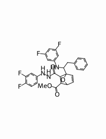 COC(=O)C1=C(C(=O)NNc2ccc(F)c(F)c2)C2(C(Cc3ccccc3)Nc3cc(F)cc(F)c3)C=CC1O2